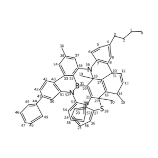 CCCCc1ccc2c(c1)C1(C)C=CC(C)C3=C1C1(C)C(=C4c5ccccc5SC43C)B3c4c(cc(C)cc4N21)-c1ccc(-c2ccccc2)cc1N3c1ccccc1